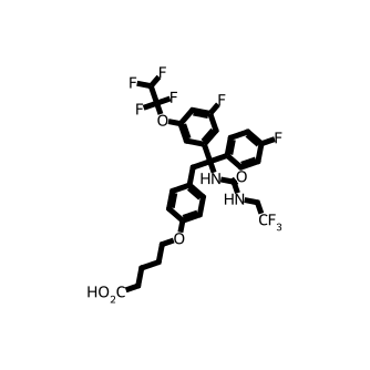 O=C(O)CCCCOc1ccc(CC(NC(=O)NCC(F)(F)F)(c2ccc(F)cc2)c2cc(F)cc(OC(F)(F)C(F)F)c2)cc1